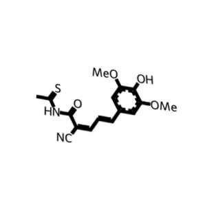 COc1cc(C=CC=C(C#N)C(=O)NC(C)=S)cc(OC)c1O